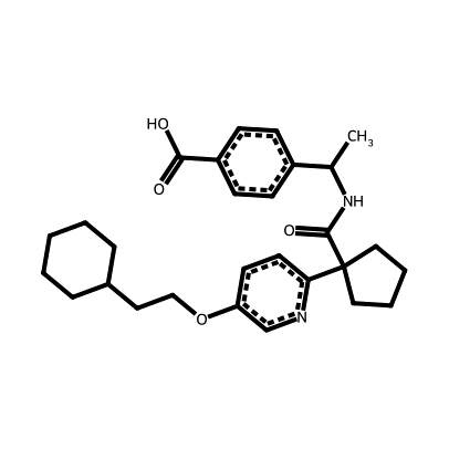 CC(NC(=O)C1(c2ccc(OCCC3CCCCC3)cn2)CCCC1)c1ccc(C(=O)O)cc1